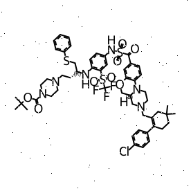 CC1(C)CCC(c2ccc(Cl)cc2)=C(CN2CCN3c4ccc(C(=O)S(=O)(=O)Nc5ccc(N[C@H](CCN6CCN(C(=O)OC(C)(C)C)CC6)CSc6ccccc6)c(S(=O)(=O)C(F)(F)F)c5)cc4OC[C@@H]3C2)C1